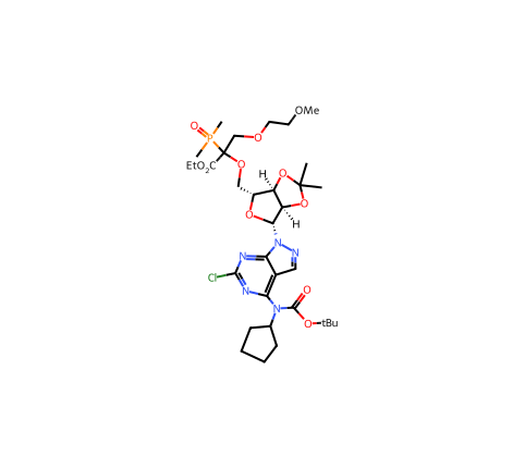 CCOC(=O)C(COCCOC)(OC[C@H]1O[C@@H](n2ncc3c(N(C(=O)OC(C)(C)C)C4CCCC4)nc(Cl)nc32)[C@@H]2OC(C)(C)O[C@@H]21)P(C)(C)=O